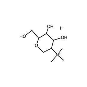 C[N+](C)(C)C1COC(CO)C(O)C1O.[I-]